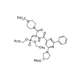 CCOC(=O)N1CCN(C(=O)[C@H](CP(=O)(OCOC(C)=O)OCOC(C)=O)NC(=O)c2cc(N3CC[C@H](OC)C3)nc(-c3ccccc3)n2)CC1